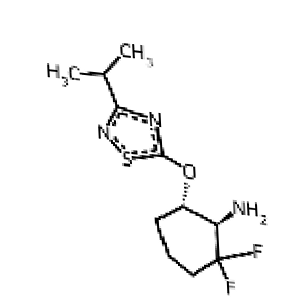 CC(C)c1nsc(O[C@H]2CCCC(F)(F)[C@@H]2N)n1